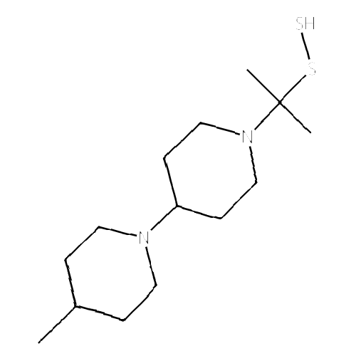 CC1CCN(C2CCN(C(C)(C)SS)CC2)CC1